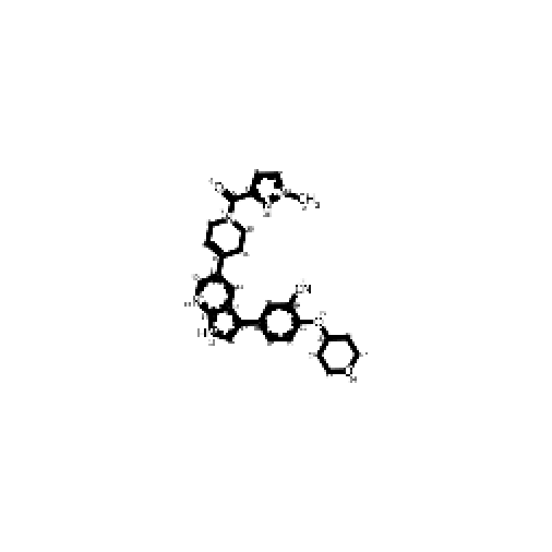 Cn1ccc(C(=O)N2CC=C(c3cnc4[nH]cc(-c5ccc(OC6CCOCC6)c(C#N)c5)c4c3)CC2)n1